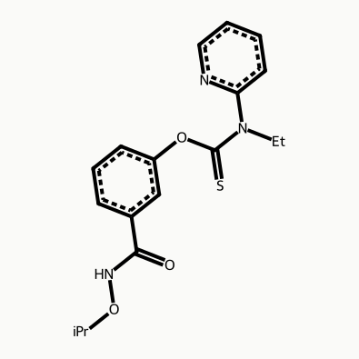 CCN(C(=S)Oc1cccc(C(=O)NOC(C)C)c1)c1ccccn1